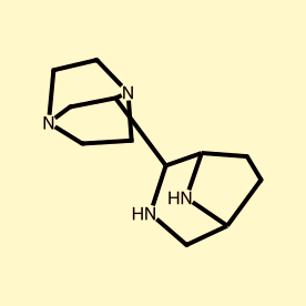 C1CC2NC1CNC2C1CN2CCN1CC2